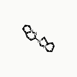 c1ccn2c[n+](-c3ccc4cccn4n3)cc2c1